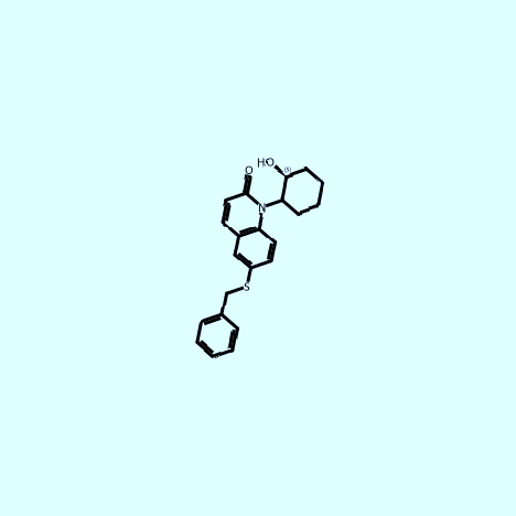 O=c1ccc2cc(SCc3ccccc3)ccc2n1C1CCCC[C@@H]1O